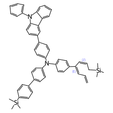 C=C/C=C(\C=C/C[Si](C)(C)C)c1ccc(N(c2ccc(-c3ccc([Si](C)(C)C)cc3)cc2)c2ccc(-c3ccc4c(c3)c3ccccc3n4-c3ccccc3)cc2)cc1